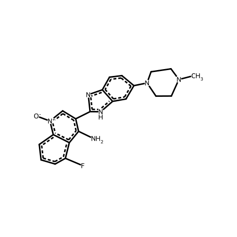 CN1CCN(c2ccc3nc(-c4c[n+]([O-])c5cccc(F)c5c4N)[nH]c3c2)CC1